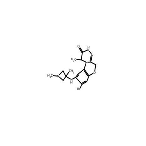 CC1C(=O)NN=C2COc3cc(Br)c(NC4(C)CN(C)C4)cc3N21